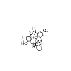 COc1cc(C=[N+]2[Cr][N+](=Cc3cc(OC)cc(C(C)(C)C)c3O)[C@@H]3CCCC[C@H]32)c(O)c(C(C)(C)C)c1.[I-]